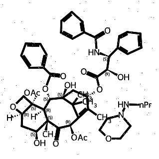 CC(=O)O[C@H]1C(=O)[C@@]2(C)[C@H]([C@H](OC(=O)c3ccccc3)[C@]3(O)C[C@H](OC(=O)[C@H](O)[C@@H](NC(=O)c4ccccc4)c4ccccc4)C(C)=C1C3(C)C)[C@]1(OC(C)=O)CO[C@@H]1C[C@@H]2O.CCCNN1CCOCC1